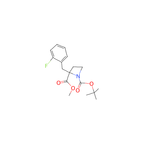 COC(=O)C1(Cc2ccccc2F)CCN1C(=O)OC(C)(C)C